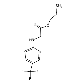 CCCOC(=O)CNc1ccc(C(F)(F)F)cc1